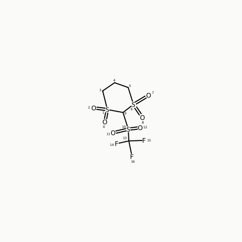 O=S1(=O)CCCS(=O)(=O)C1S(=O)(=O)C(F)(F)F